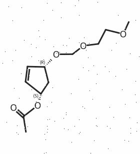 COCCOCO[C@H]1C=C[C@@H](OC(C)=O)C1